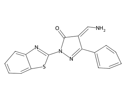 N/C=C1/C(=O)N(c2nc3ccccc3s2)N=C1c1ccccc1